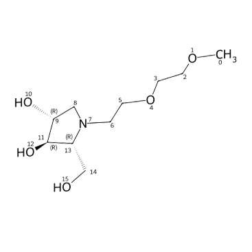 COCCOCCN1C[C@@H](O)[C@H](O)[C@H]1CO